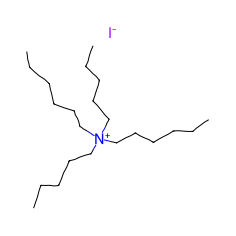 CCCCCC[N+](CCCCC)(CCCCC)CCCCCC.[I-]